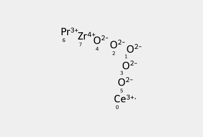 [Ce+3].[O-2].[O-2].[O-2].[O-2].[O-2].[Pr+3].[Zr+4]